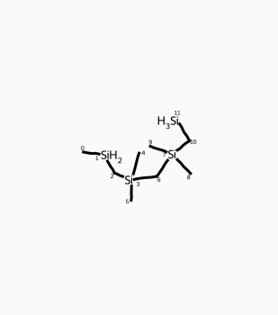 C[SiH2]C[Si](C)(C)C[Si](C)(C)C[SiH3]